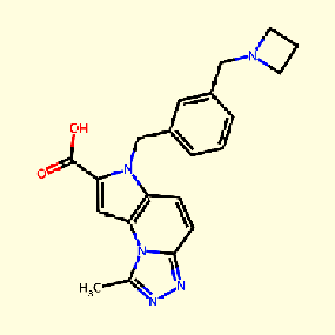 Cc1nnc2ccc3c(cc(C(=O)O)n3Cc3cccc(CN4CCC4)c3)n12